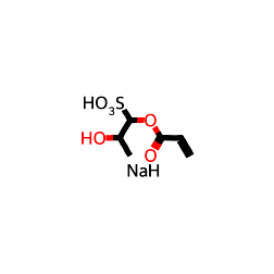 C=CC(=O)OC(C(C)O)S(=O)(=O)O.[NaH]